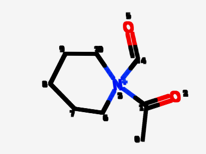 CC(=O)[N+]1([C]=O)CCCCC1